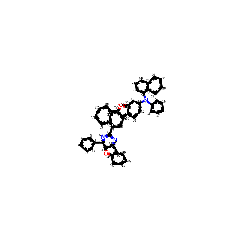 c1ccc(-c2nc(-c3cc4c5ccc(N(c6ccccc6)c6cccc7ccccc67)cc5oc4c4ccccc34)nc3c2oc2ccccc23)cc1